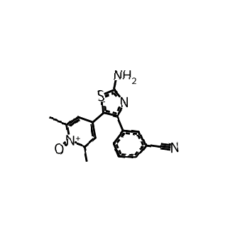 CC1=CC(c2sc(N)nc2-c2cccc(C#N)c2)=CC(C)[N+]1=O